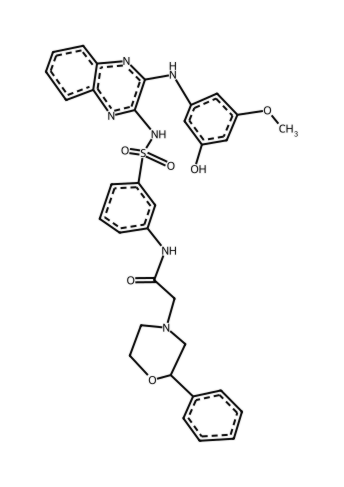 COc1cc(O)cc(Nc2nc3ccccc3nc2NS(=O)(=O)c2cccc(NC(=O)CN3CCOC(c4ccccc4)C3)c2)c1